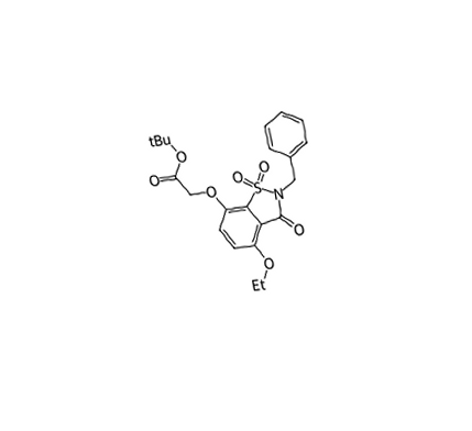 CCOc1ccc(OCC(=O)OC(C)(C)C)c2c1C(=O)N(Cc1ccccc1)S2(=O)=O